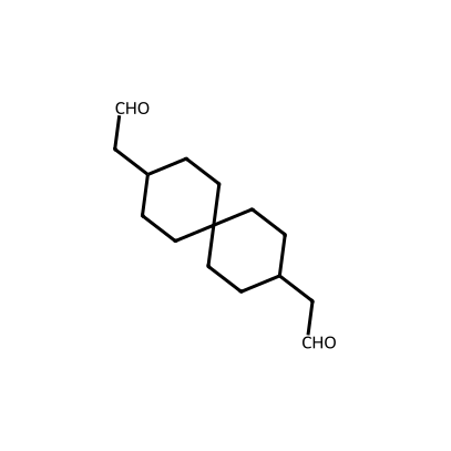 O=CCC1CCC2(CC1)CCC(CC=O)CC2